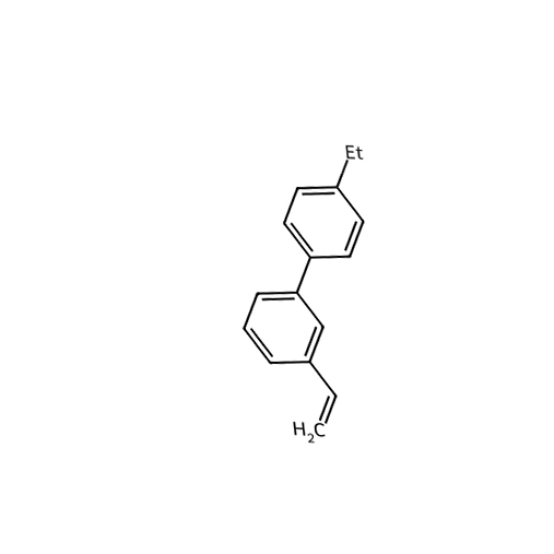 C=Cc1cccc(-c2ccc(CC)cc2)c1